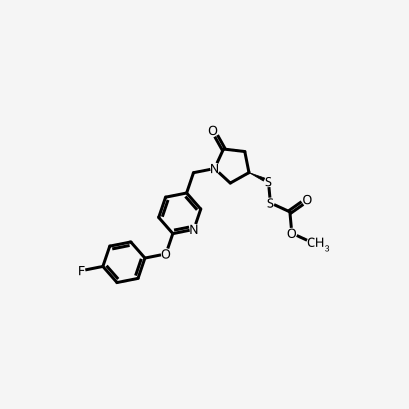 COC(=O)SS[C@@H]1CC(=O)N(Cc2ccc(Oc3ccc(F)cc3)nc2)C1